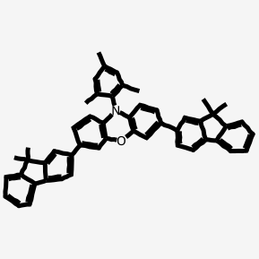 Cc1cc(C)c(N2c3ccc(-c4ccc5c(c4)C(C)(C)c4ccccc4-5)cc3Oc3cc(-c4ccc5c(c4)C(C)(C)c4ccccc4-5)ccc32)c(C)c1